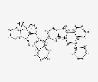 CC1(C)c2ccccc2-c2cc3c4ccccc4n(-c4ccc5nc6c7ccccc7c(-c7ccccc7)cn6c5c4)c3cc21